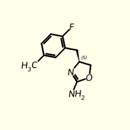 Cc1ccc(F)c(C[C@H]2COC(N)=N2)c1